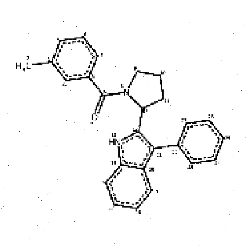 Cc1cccc(C(=O)N2CCCC2c2[nH]c3ccccc3c2-c2ccccc2)c1